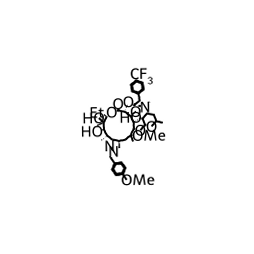 CC[C@H]1OC(=O)[C@H](C)[C@@H](OC(=O)Cc2ccc(C(F)(F)F)cc2)[C@H](C)[C@@H](OC2OC(C)CC(N(C)C)C2O)[C@](C)(OC)C[C@@H](C)/C(=N\N=C\c2ccc(OC)cc2)[C@H](C)[C@@H](O)[C@]1(C)O